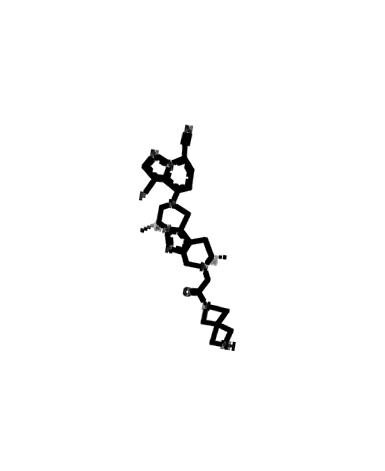 C[C@@H]1CN(c2ccc(C#N)n3ncc(F)c23)Cc2c3c(nn21)CN(CC(=O)N1CC2(CNC2)C1)[C@@H](C)C3